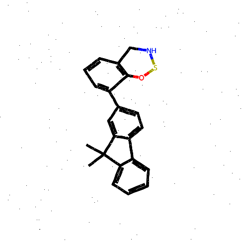 CC1(C)c2ccccc2-c2ccc(-c3cccc4c3OSNC4)cc21